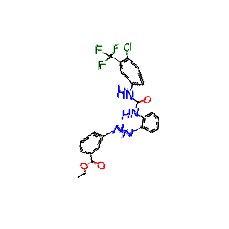 CCOC(=O)c1cccc(N=Nc2ccccc2NC(=O)Nc2ccc(Cl)c(C(F)(F)F)c2)c1